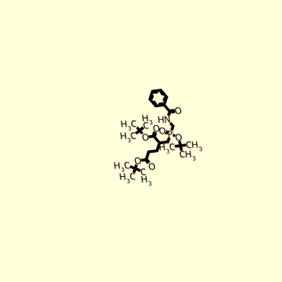 CC(C)(C)OC(=O)CCC(CP(=O)(CNC(=O)c1ccccc1)OC(C)(C)C)C(=O)OC(C)(C)C